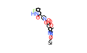 COC(=O)[C@@H](Cc1cc(C)c2cn(COCC[Si](C)(C)C)nc2c1)OC(=O)N1CCC(c2cc3cccc(F)c3[nH]c2=O)CC1